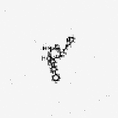 C/C(=C\C=C\Cc1ccccn1)[C@H]1OC(=O)C[C@H](O)CC[C@@](C)(O)[C@H](OC(=O)N2CCN(C3CCCCCC3)CC2)/C=C/[C@@H]1C